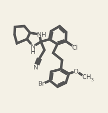 COc1ccc(Br)cc1CCc1c(Cl)cccc1C1(CC#N)NC2CCCCC2N1